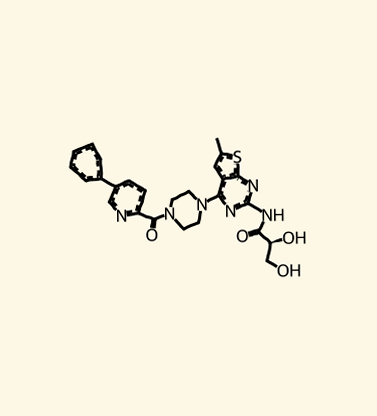 Cc1cc2c(N3CCN(C(=O)c4ccc(-c5ccccc5)cn4)CC3)nc(NC(=O)[C@@H](O)CO)nc2s1